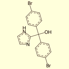 OC(c1ccc(Br)cc1)(c1ccc(Br)cc1)c1ncc[nH]1